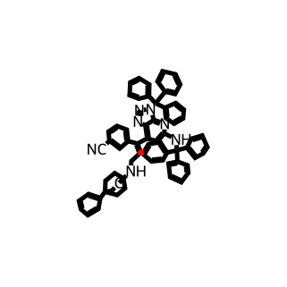 N#Cc1cccc(C(=CCNC23CCC(c4ccccc4)(CC2)CC3)c2cc(NC(c3ccccc3)(c3ccccc3)c3ccccc3)nc3c2nnn3C(c2ccccc2)(c2ccccc2)c2ccccc2)c1